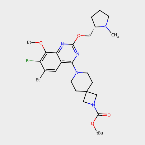 CCOc1c(Br)c(CC)cc2c(N3CCC4(CC3)CN(C(=O)OC(C)(C)C)C4)nc(OC[C@@H]3CCCN3C)nc12